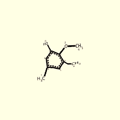 COc1c(C)cc(C)cc1O